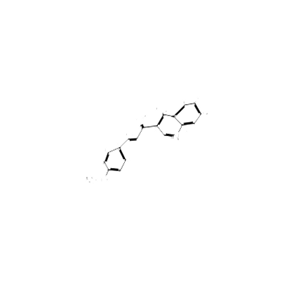 COc1ccc(/C=C/C(=O)c2cnc3ccccc3c2C)cc1